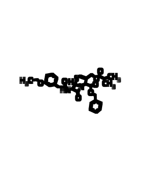 CCOc1cccc(CC(=O)NC2C(=O)N3C(C(=O)OCc4ccccc4)C(COC(=O)C(C)C)=CS[C@@H]23)c1